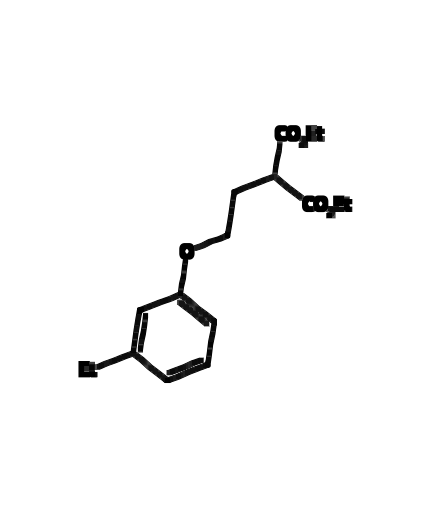 CCOC(=O)C(CCOc1cccc(CC)c1)C(=O)OCC